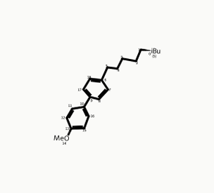 CC[C@H](C)CCCCCc1ccc(-c2ccc(OC)cc2)cc1